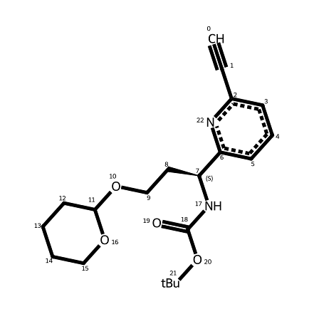 C#Cc1cccc([C@H](CCOC2CCCCO2)NC(=O)OC(C)(C)C)n1